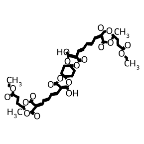 CCOC(=O)CCC1(C)OC(=O)C(=C/C=C/C=C/C2=C(O)OC3(CCC4(CC3)OC(=O)C(/C=C/C=C/C=C3C(=O)OC(C)(CCC(=O)OCC)OC3=O)=C(O)O4)OC2=O)C(=O)O1